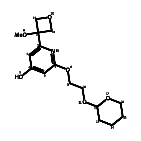 COC1(c2cc(O)cc(OCCOC3CCCCO3)n2)COC1